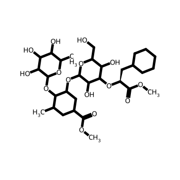 COC(=O)C1CC(C)C(OC2OC(C)C(O)C(O)C2O)C(OC2OC(CO)C(O)C(O[C@@H](CC3CCCCC3)C(=O)OC)C2O)C1